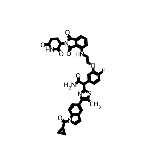 Cc1sc(C(C(N)=O)c2ccc(F)c(OCCNc3cccc4c3C(=O)N(C3CCC(=O)NC3=O)C4=O)c2)nc1-c1ccc2c(ccn2C(=O)C2CC2)c1